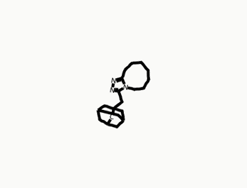 C1CCCc2nnc(CC34CC5CC(CC(C5)C3)C4)n2CCC1